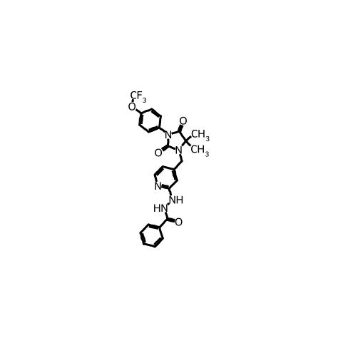 CC1(C)C(=O)N(c2ccc(OC(F)(F)F)cc2)C(=O)N1Cc1ccnc(NNC(=O)c2ccccc2)c1